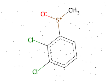 C[S+]([O-])c1cc[c]c(Cl)c1Cl